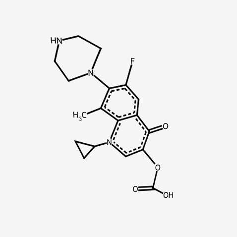 Cc1c(N2CCNCC2)c(F)cc2c(=O)c(OC(=O)O)cn(C3CC3)c12